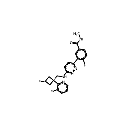 CNC(=O)c1ccc(F)c(-c2ccc(NC[C@]3(c4ncccc4F)C[C@H](F)C3)nn2)c1